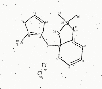 CC1=CC=CCC1(CC1=[C]([Ti+2])CC=C1)S[Si](C)(C)C.[Cl-].[Cl-]